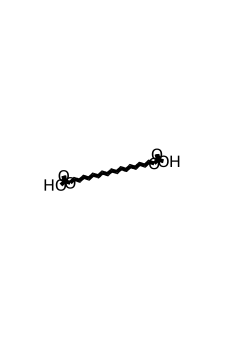 O=C(O)OCCCCCCCCCCCCCCCCCOC(=O)O